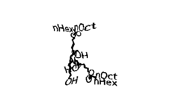 CCCCCCCCC(CCCCCC)C(=O)OCCCC[C@H](O)CN(CCCCCO)C[C@@H](O)CCCCOC(=O)C(CCCCCC)CCCCCCCC